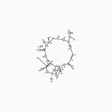 CC1=C[C@H]2O[C@@H]3C[C@H]4OC(=O)/C=C\C=C\C(C(C)O)OCC[C@@]5(C)O[C@@H]5C(=O)OC[C@@]2(CC1)[C@]4(C)C31CO1